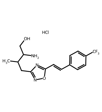 CC(Cc1noc(C=Cc2ccc(C(F)(F)F)cc2)n1)C(N)CO.Cl